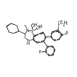 CN1C(C2CCCCC2)CNc2cc(-c3ccccc3F)c(-c3ccc(F)c(C(=O)O)c3)cc2S1(O)O